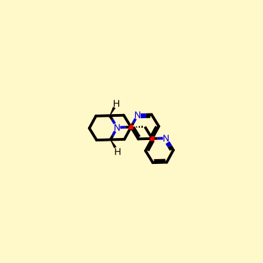 c1ccc(C[C@H]2C[C@H]3CCC[C@@H](C2)N3c2ccccn2)nc1